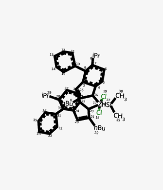 CCCCC1=Cc2c(ccc(C(C)C)c2-c2ccccc2)[CH]1[Zr]([Cl])([Cl])([CH]1C(CCCC)=Cc2c1ccc(C(C)C)c2-c1ccccc1)[SiH](C)C